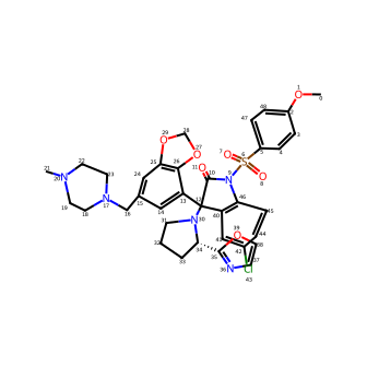 COc1ccc(S(=O)(=O)N2C(=O)C(c3cc(CN4CCN(C)CC4)cc4c3OCO4)(N3CCC[C@H]3c3ncco3)c3cc(Cl)ccc32)cc1